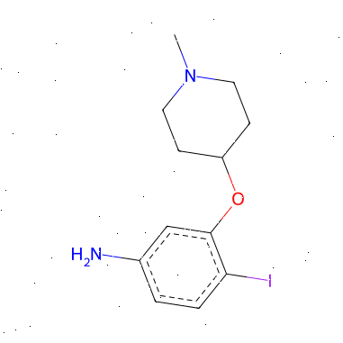 CN1CCC(Oc2cc(N)ccc2I)CC1